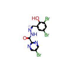 O=C(N/N=C\c1cc(Br)cc(Br)c1O)c1ncc(Br)cn1